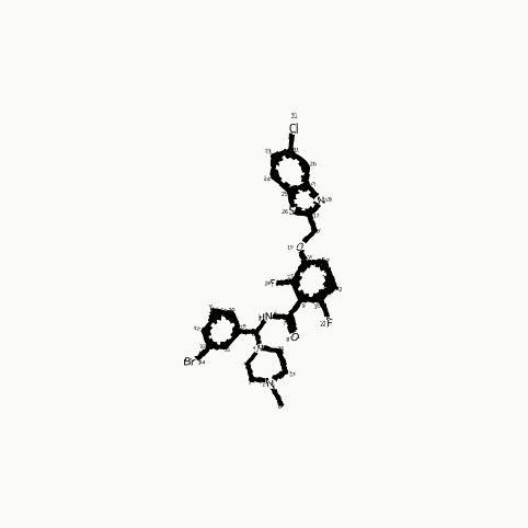 CN1CCN(C(NC(=O)c2c(F)ccc(OCc3nc4cc(Cl)ccc4s3)c2F)c2cccc(Br)c2)CC1